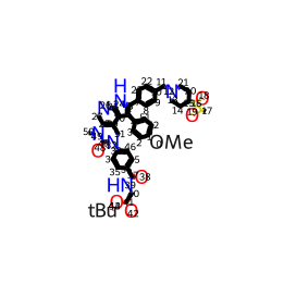 COc1ccc(-c2c(-c3ccc(CN4CCC(S(C)(=O)=O)CC4)cc3)[nH]c3ncc4c(c23)CN(c2ccc(C(=O)NCC(=O)OC(C)(C)C)cc2)C(=O)N4C)cc1